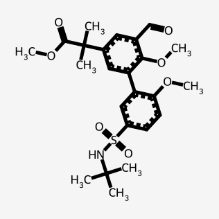 COC(=O)C(C)(C)c1cc(C=O)c(OC)c(-c2cc(S(=O)(=O)NC(C)(C)C)ccc2OC)c1